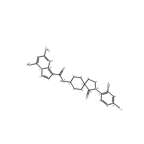 Cc1cc(O)n2ncc(C(=O)NC3CCC4(CC3)CCN(c3ccc(F)cc3Cl)C4=O)c2n1